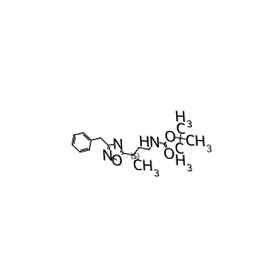 C[C@@H](CCNC(=O)OC(C)(C)C)c1nc(Cc2ccccc2)no1